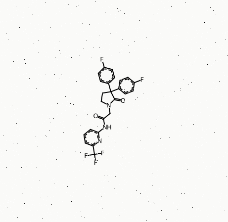 O=C(CN1CCC(c2ccc(F)cc2)(c2ccc(F)cc2)C1=O)Nc1cccc(C(F)(F)F)n1